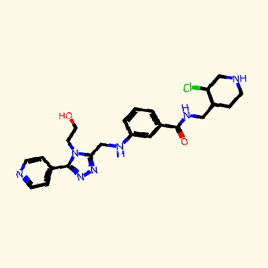 O=C(NCC1CCNCC1Cl)c1cccc(NCc2nnc(-c3ccncc3)n2CCO)c1